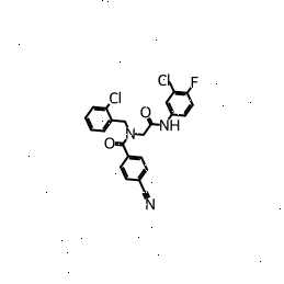 N#Cc1ccc(C(=O)N(CC(=O)Nc2ccc(F)c(Cl)c2)Cc2ccccc2Cl)cc1